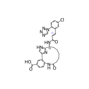 O=C(/C=C/c1cc(Cl)ccc1-n1cnnn1)N[C@H]1CCCCCC(=O)Nc2ccc(C(=O)O)cc2-c2c[nH]c1n2